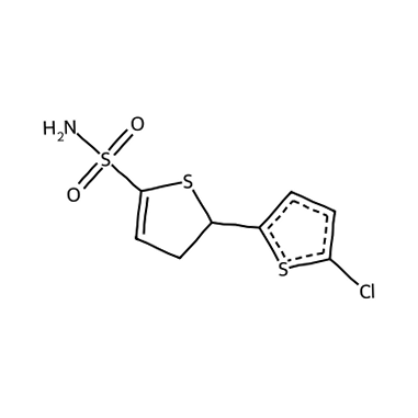 NS(=O)(=O)C1=CCC(c2ccc(Cl)s2)S1